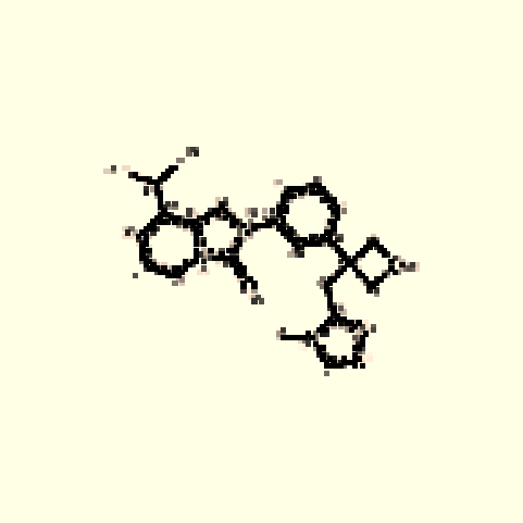 Cn1cnnc1CC1(c2cccc(-n3cc4c(C(F)F)cccn4c3=O)c2)COC1